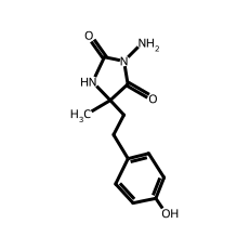 CC1(CCc2ccc(O)cc2)NC(=O)N(N)C1=O